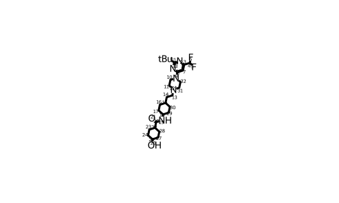 CC(C)(C)c1nc(C(F)F)cc(N2CCN(CCC3CCC(NC(=O)C4CCC(O)CC4)CC3)CC2)n1